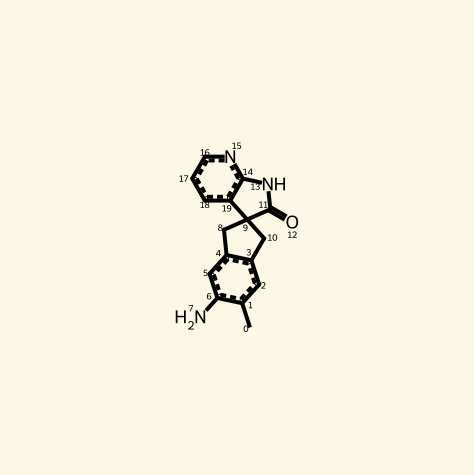 Cc1cc2c(cc1N)CC1(C2)C(=O)Nc2ncccc21